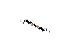 CCCCSCCSCCCC